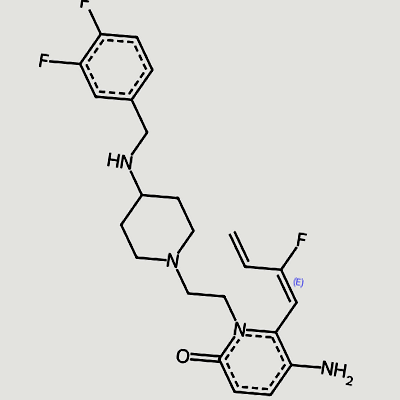 C=C/C(F)=C\c1c(N)ccc(=O)n1CCN1CCC(NCc2ccc(F)c(F)c2)CC1